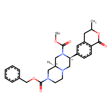 CC1Cc2cc([C@H]3CN4CCN(C(=O)OCc5ccccc5)C[C@H]4CN3C(=O)OC(C)(C)C)ccc2C(=O)O1